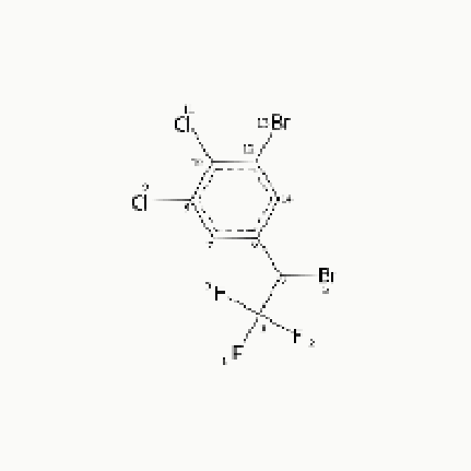 FC(F)(F)C(Br)c1cc(Cl)c(Cl)c(Br)c1